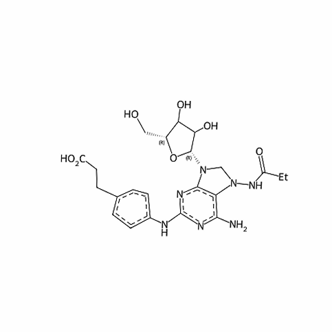 CCC(=O)NN1CN([C@@H]2O[C@H](CO)C(O)C2O)c2nc(Nc3ccc(CCC(=O)O)cc3)nc(N)c21